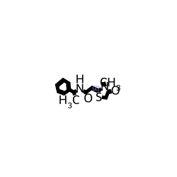 CC(NC(=O)/C=C1\SCC(=O)N1C)c1ccccc1